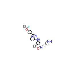 CCc1cc(NC2=CCC=Cn3c(-c4ccc(OC(F)CC)cc4)cnc32)ccc1C(=O)N(C)CCC1CCNCC1